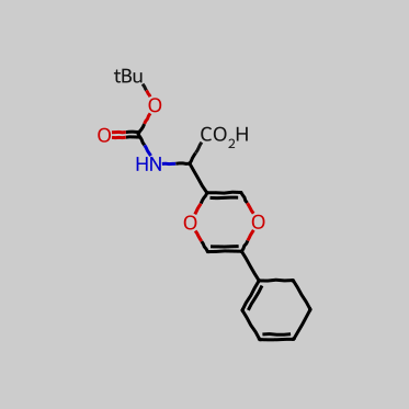 CC(C)(C)OC(=O)NC(C(=O)O)C1=COC(C2=CC=CCC2)=CO1